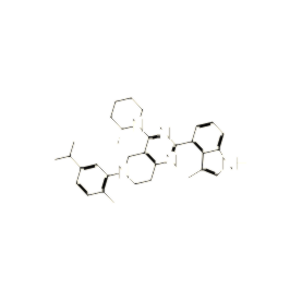 Cc1ccc(C(C)C)cc1N1CCc2nc(-c3cccc4[nH]cc(C)c34)nc(N3CCCC[C@@H]3C)c2C1